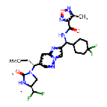 COC[C@H](c1cnn2cc([C@@H](NC(=O)c3nonc3C)C3CCC(F)(F)CC3)nc2c1)N1C[C@@H](C(F)F)NC1=O